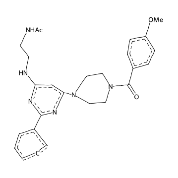 COc1ccc(C(=O)N2CCN(c3cc(NCCNC(C)=O)nc(-c4ccccc4)n3)CC2)cc1